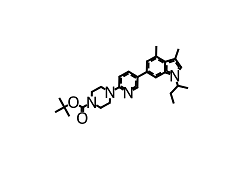 CCC(C)n1cc(C)c2c(C)cc(-c3ccc(N4CCN(C(=O)OC(C)(C)C)CC4)nc3)cc21